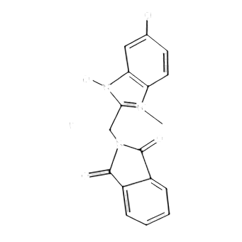 CCn1c(CN2C(=O)c3ccccc3C2=O)[n+](C)c2ccc(Cl)cc21.[I-]